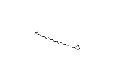 FC(F)(F)CCCCCCCCCCCCCCCOCC1CCCO1